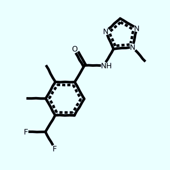 Cc1c(C(=O)Nc2ncnn2C)ccc(C(F)F)c1C